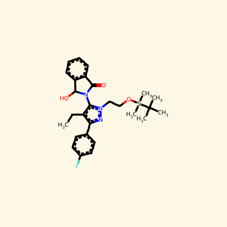 CCc1c(-c2ccc(F)cc2)nn(CCO[Si](C)(C)C(C)(C)C)c1N1C(=O)c2ccccc2C1O